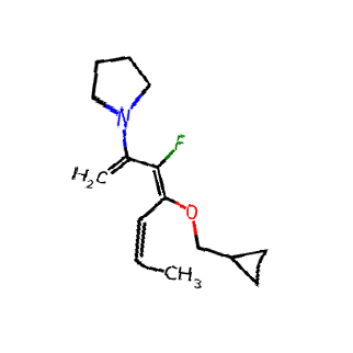 C=C(/C(F)=C(\C=C/C)OCC1CC1)N1CCCC1